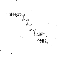 CCCCCCCCCCCCCC=CC(N)CN